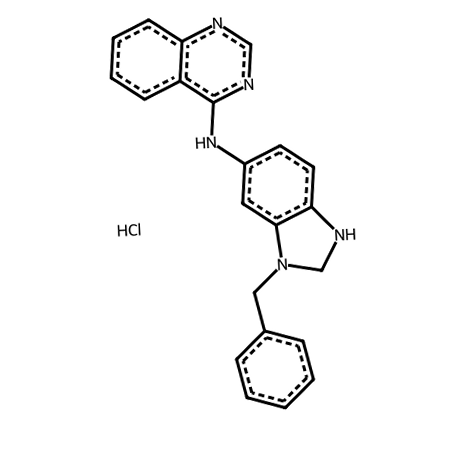 Cl.c1ccc(CN2CNc3ccc(Nc4ncnc5ccccc45)cc32)cc1